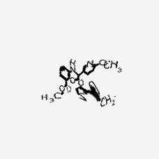 [CH2]C(=O)c1sccc1OC(=O)C(Nc1cccc(C(=O)OCC)c1)c1ccc(OC)nc1